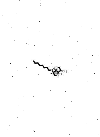 CCCCCCCCO[C@@]1(C)CO[C@@H]2[C@H](O)CO[C@@H]21